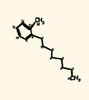 CCCCCCCCc1ccccc1C